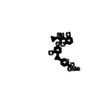 COC(=O)c1ccc(C2CC2c2ccc(OCc3c(-c4c(Cl)cccc4Cl)noc3C3CC3)cc2Cl)cn1